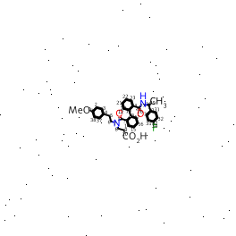 COc1ccc(CCN(CCC(=O)O)C(=O)c2ccccc2-c2ccccc2C(=O)NC(C)c2ccc(F)cc2)cc1